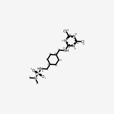 CN(C)S(=O)(=O)NCC1CCC(CNc2nc(Cl)nc(Cl)n2)CC1